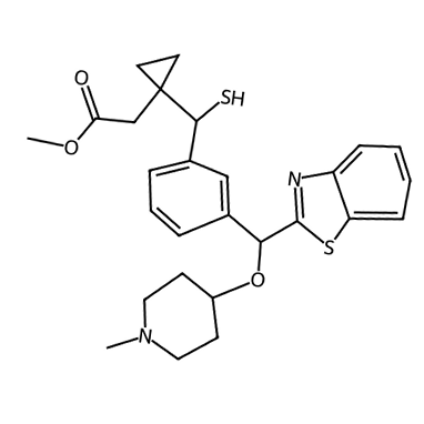 COC(=O)CC1(C(S)c2cccc(C(OC3CCN(C)CC3)c3nc4ccccc4s3)c2)CC1